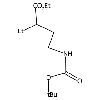 CCOC(=O)C(CC)CCNC(=O)OC(C)(C)C